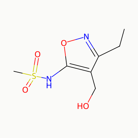 CCc1noc(NS(C)(=O)=O)c1CO